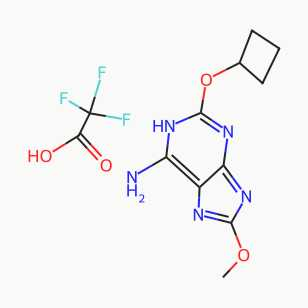 COc1nc2nc(OC3CCC3)[nH]c(N)c-2n1.O=C(O)C(F)(F)F